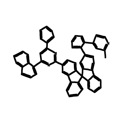 Cc1cc(-c2ccccc2-c2ccc3c(c2)C2(c4ccccc4-c4cc(-c5nc(-c6ccccc6)cc(-c6cccc7ccccc67)n5)ccc42)c2ccccc2-3)ccn1